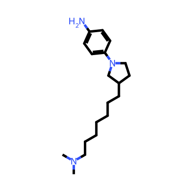 CN(C)CCCCCCCC1CCN(c2ccc(N)cc2)C1